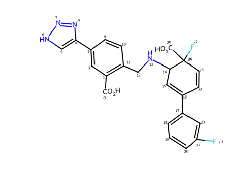 O=C(O)c1cc(-c2c[nH]nn2)ccc1CNC1C=C(c2cccc(F)c2)C=CC1(F)C(=O)O